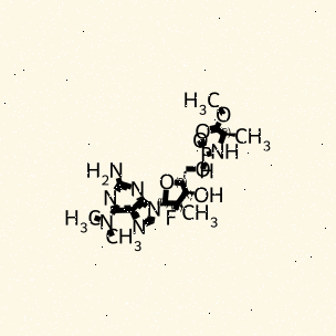 COC(=O)[C@@H](C)N[PH](=O)OC[C@H]1O[C@@H](n2cnc3c(N(C)C)nc(N)nc32)[C@](C)(F)[C@@H]1O